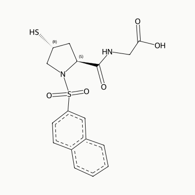 O=C(O)CNC(=O)[C@@H]1C[C@@H](S)CN1S(=O)(=O)c1ccc2ccccc2c1